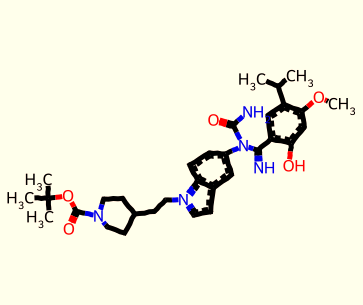 COc1cc(O)c(C(=N)N(C(N)=O)c2ccc3c(ccn3CCC3CCN(C(=O)OC(C)(C)C)CC3)c2)cc1C(C)C